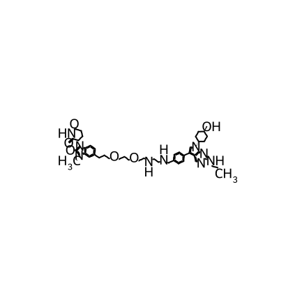 CCCNc1ncc2c(-c3ccc(CNCCNCCOCCCOCCCc4ccc5c(c4)n(C)c(=O)n5[C@H]4CCC(=O)NC4=O)cc3)cn([C@H]3CC[C@H](O)CC3)c2n1